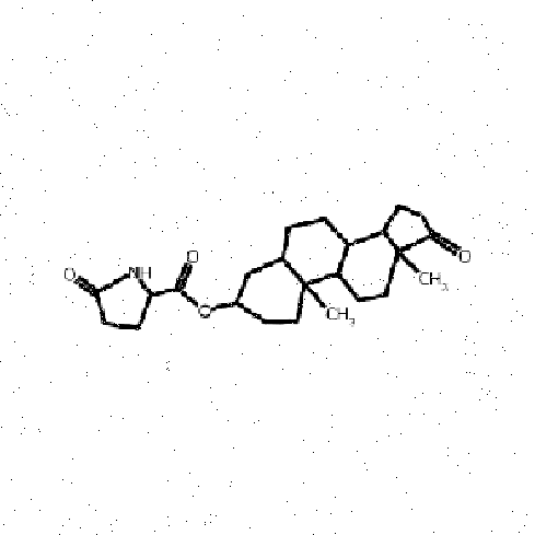 CC12CCC3C(CCC4CC(OC(=O)C5CCC(=O)N5)CCC43C)C1CCC2=O